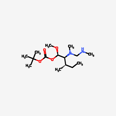 CC[C@H](C)[C@@H]([C@H](OC)OC(=O)OC(C)(C)C)N(C)CNC